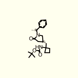 C[C@H](c1ccccc1)N1C[C@H](CC2(NC(=O)OC(C)(C)C)CCC2)CC1=O